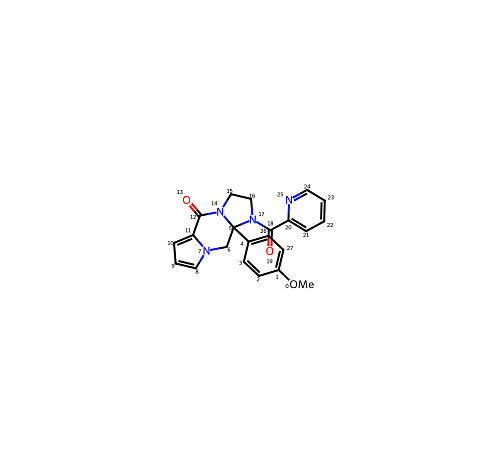 COc1ccc(C23Cn4cccc4C(=O)N2CCN3C(=O)c2ccccn2)cc1